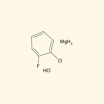 Cl.Fc1ccccc1Cl.[MgH2]